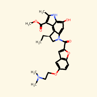 CC[C@@H]1CN(C(=O)c2cc3cc(OCCN(C)C)ccc3o2)c2cc(O)c3[nH]c(C)c(C(=O)OC)c3c21